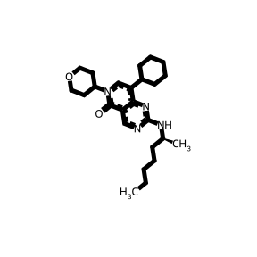 CCCCC[C@H](C)Nc1ncc2c(=O)n(C3CCOCC3)cc(C3CCCCC3)c2n1